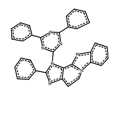 c1ccc(-c2nc(-c3ccccc3)nc(-n3c(-c4ccccc4)nc4ccn5c6ccccc6nc5c43)n2)cc1